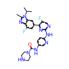 Cc1nc2c(F)cc(-c3nc(Nc4ccc(NC(=O)N5CCNCC5)cn4)ncc3F)cc2n1C(C)C